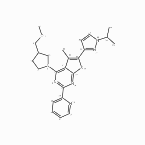 COCC1CCN(c2nc(-c3ccccn3)nc3sc(-c4ccn(C(C)C)n4)c(C)c23)C1